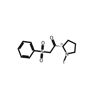 O=C(CS(=O)(=O)c1ccccc1)[C@@H]1CCCN1I